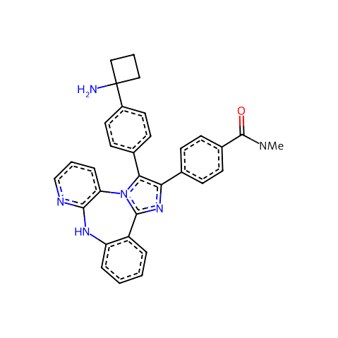 CNC(=O)c1ccc(-c2nc3n(c2-c2ccc(C4(N)CCC4)cc2)-c2cccnc2Nc2ccccc2-3)cc1